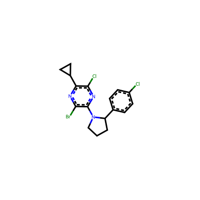 Clc1ccc(C2CCCN2c2nc(Cl)c(C3CC3)nc2Br)cc1